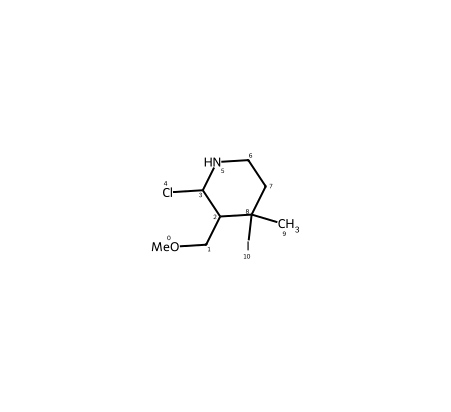 COCC1C(Cl)NCCC1(C)I